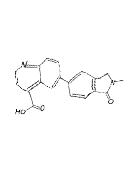 CN1Cc2cc(-c3ccc4nccc(C(=O)O)c4c3)ccc2C1=O